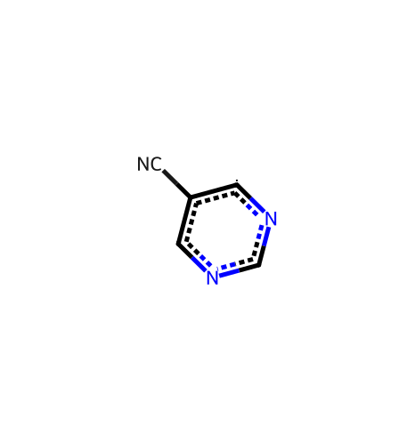 N#Cc1[c]ncnc1